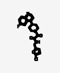 O=C(NCc1ccc(Cl)o1)C(=O)N1CCC(c2ccnc3ccc(F)cc23)CC1